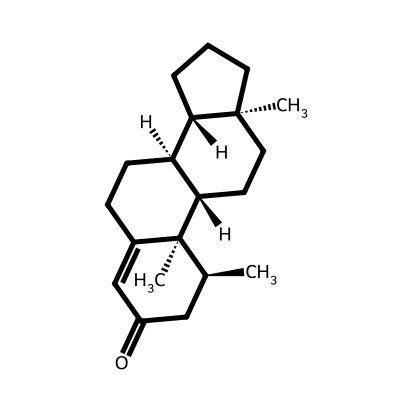 C[C@H]1CC(=O)C=C2CC[C@H]3[C@@H]4CCC[C@@]4(C)CC[C@@H]3[C@]21C